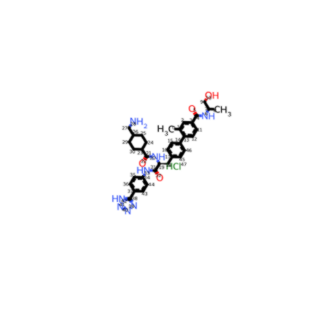 Cc1cc(C(=O)NC(C)CO)ccc1-c1ccc(C[C@H](NC(=O)C2CCC(CN)CC2)C(=O)Nc2ccc(-c3nnn[nH]3)cc2)cc1.Cl